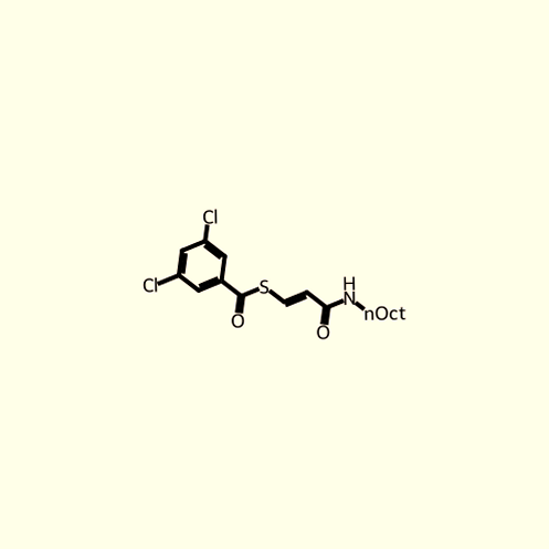 CCCCCCCCNC(=O)C=CSC(=O)c1cc(Cl)cc(Cl)c1